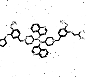 COc1ccc(CN2CCC(N(c3ccnc4ccccc34)N(c3ccnc4ccccc34)C3CCN(Cc4ccc(OC)c(OC5CCCC5)c4)CC3)CC2)cc1OCC(C)C